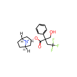 CN1[C@@H]2CC[C@H]1C[C@@H](OC(=O)C(CO)(CC(F)(F)F)c1ccccc1)C2